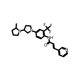 CC1CCCN1C1CCN(c2ccc(NC(=O)C=Cc3cccnc3)c(C(F)(F)F)c2)C1